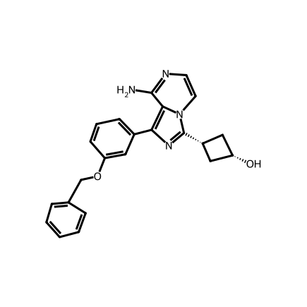 Nc1nccn2c1c(-c1cccc(OCc3ccccc3)c1)nc2[C@H]1C[C@@H](O)C1